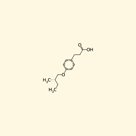 CC[C@H](C)COc1ccc(CCC(=O)O)cc1